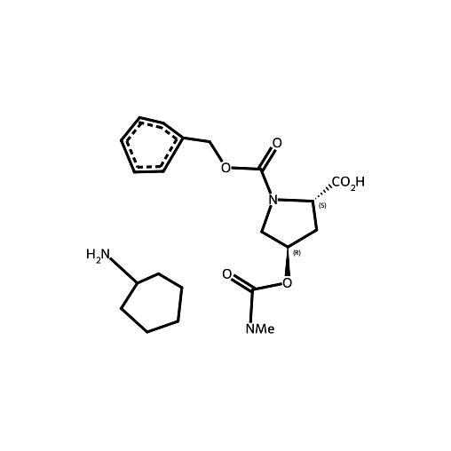 CNC(=O)O[C@@H]1C[C@@H](C(=O)O)N(C(=O)OCc2ccccc2)C1.NC1CCCCC1